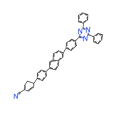 N#CC1=CCC(c2ccc(-c3ccc4cc(-c5ccc(-c6nc(-c7ccccc7)nc(-c7ccccc7)n6)cc5)ccc4c3)cc2)C=C1